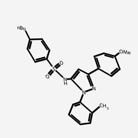 CCCCc1ccc(S(=O)(=O)Nc2cc(-c3ccc(OC)cc3)nn2-c2ccccc2C)cc1